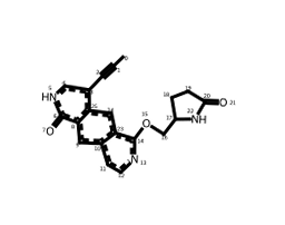 CC#Cc1c[nH]c(=O)c2cc3ccnc(OCC4CCC(=O)N4)c3cc12